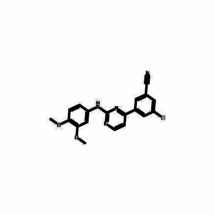 COc1ccc(Nc2nccc(-c3cc(Cl)cc(C#N)c3)n2)cc1OC